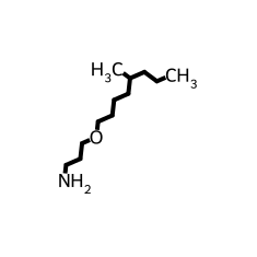 CCCC(C)CCCCOCCCN